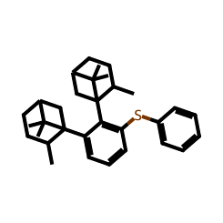 CC1CCC2CC1(c1cccc(Sc3ccccc3)c1C13CC(CCC1C)C3(C)C)C2(C)C